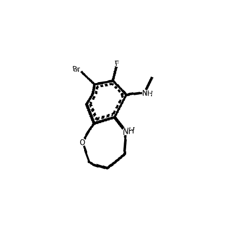 CNc1c(F)c(Br)cc2c1NCCCO2